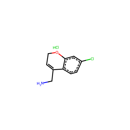 Cl.NCC1=CCOc2cc(Cl)ccc21